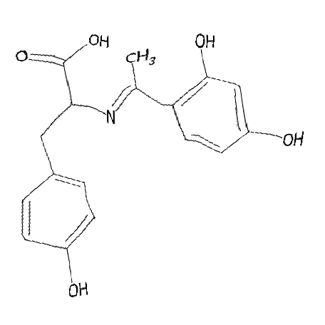 CC(=NC(Cc1ccc(O)cc1)C(=O)O)c1ccc(O)cc1O